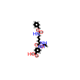 CCC(=O)NC(CCCCNC(=O)OCc1ccccc1)C(=O)Nc1ccc(C(=O)O)cc1